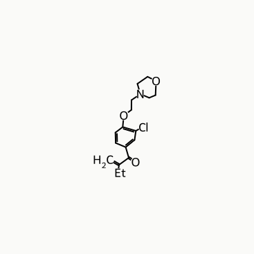 C=C(CC)C(=O)c1ccc(OCCN2CCOCC2)c(Cl)c1